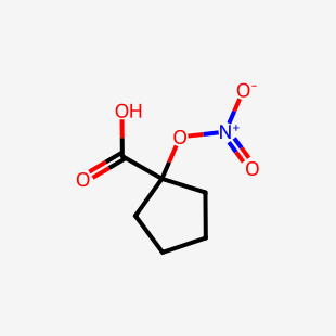 O=C(O)C1(O[N+](=O)[O-])CCCC1